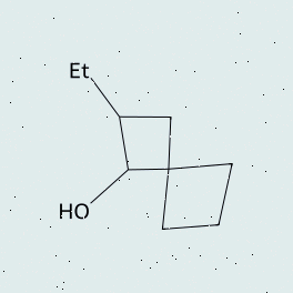 CCC1CC2(CCC2)C1O